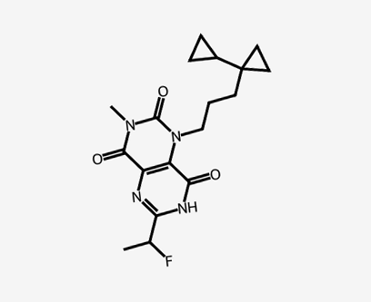 CC(F)c1nc2c(=O)n(C)c(=O)n(CCCC3(C4CC4)CC3)c2c(=O)[nH]1